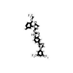 Cc1ccc(COCC(F)(F)F)c(N2C(=O)CSC2=NC(=O)Nc2ccc(-c3ncn(-c4cc(C(F)(F)F)cc(C(F)(F)F)c4)n3)cc2F)c1